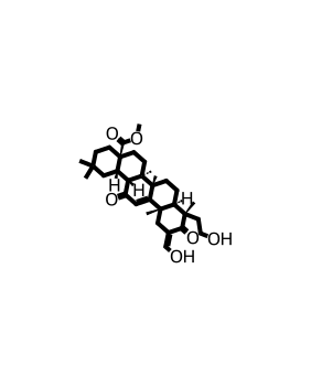 COC(=O)[C@]12CCC(C)(C)C[C@H]1[C@H]1C(=O)C=C3[C@@]4(C)C/C(=C/O)C(=O)[C@@](C)(CCO)[C@@H]4CC[C@@]3(C)[C@]1(C)CC2